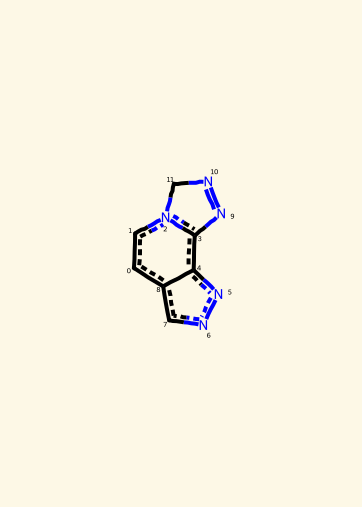 c1cn2c(c3nncc1-3)N=NC2